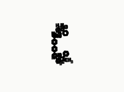 CN(C)[C@@H](C(=O)N1CCC[C@H]1c1ncc(-c2ccc(-c3ccc(-c4cnc([C@@H]5CCCN5C(=O)[C@H]5CCCC[C@H]5OC(N)=O)[nH]4)cc3)cc2)[nH]1)c1ccccc1